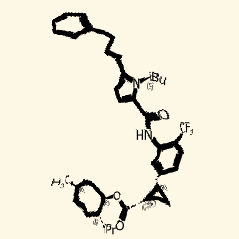 CC[C@H](C)n1c(CCCc2ccccc2)ccc1C(=O)Nc1cc([C@@H]2C[C@@H]2C(=O)O[C@@H]2C[C@H](C)CC[C@H]2C(C)C)ccc1C(F)(F)F